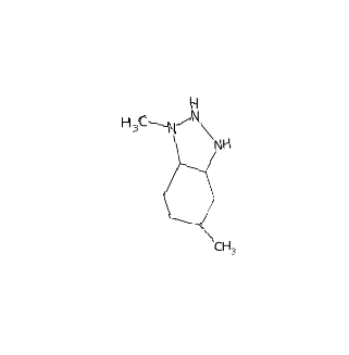 CC1CCC2C(C1)NNN2C